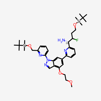 COCCOc1cc(-c2cccc([C@H](N)C(F)CCO[Si](C)(C)C(C)(C)C)n2)cc2c1cnn2-c1cccc(CO[Si](C)(C)C(C)(C)C)n1